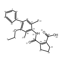 CCOc1c(-c2ccccc2)cc(F)c(NC(=O)C2=C(C(=O)O)CCC2)c1F